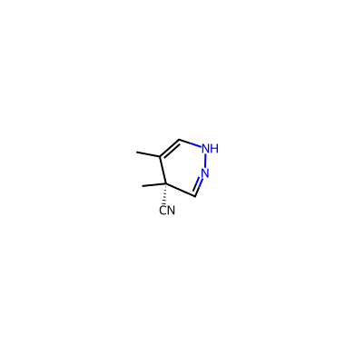 CC1=CNN=C[C@]1(C)C#N